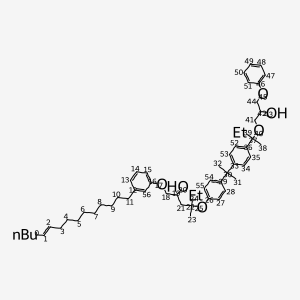 CCCC/C=C/CCCCCCCCCc1cccc(OCC(O)CC(C)(CC)Oc2ccc(C(C)(C)c3ccc(C(C)(CC)OCC(O)COc4ccccc4)cc3)cc2)c1